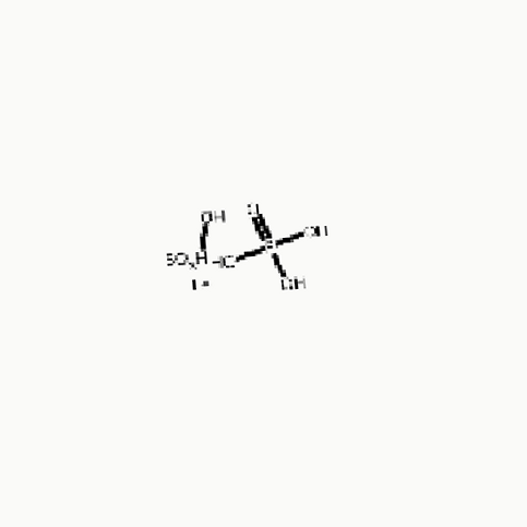 O=P(O)(O)O.O=S(=O)(O)O.[Fe]